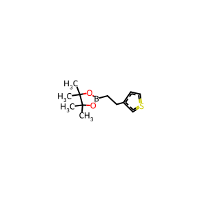 CC1(C)OB(CCc2ccsc2)OC1(C)C